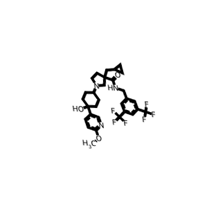 COc1ccc(C2(O)CCC(N3CCC(CC4CC4)(C(=O)NCc4cc(C(F)(F)F)cc(C(F)(F)F)c4)C3)CC2)cn1